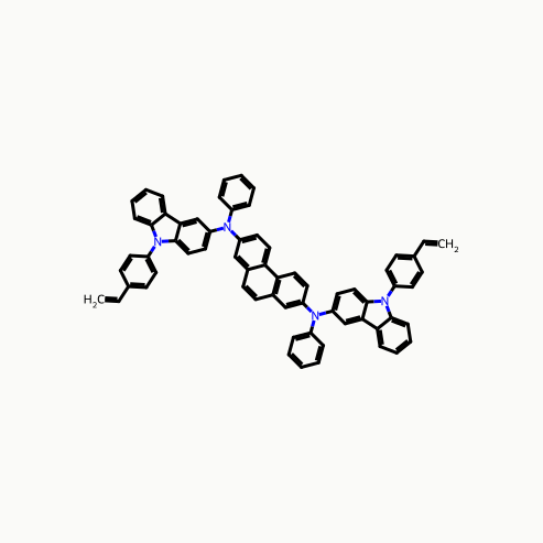 C=Cc1ccc(-n2c3ccccc3c3cc(N(c4ccccc4)c4ccc5c(ccc6cc(N(c7ccccc7)c7ccc8c(c7)c7ccccc7n8-c7ccc(C=C)cc7)ccc65)c4)ccc32)cc1